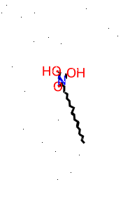 CCCCC/C=C/C/C=C/CCCCCCCC(=O)N(CCO)CCO